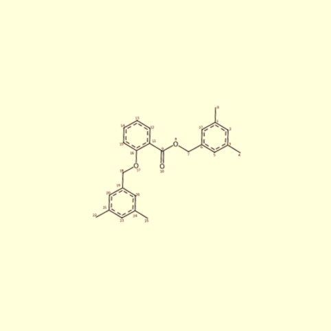 Cc1cc(C)cc(COC(=O)c2ccccc2OCc2cc(C)cc(C)c2)c1